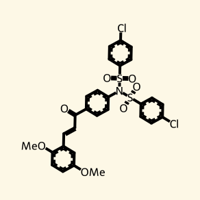 COc1ccc(OC)c(/C=C/C(=O)c2ccc(N(S(=O)(=O)c3ccc(Cl)cc3)S(=O)(=O)c3ccc(Cl)cc3)cc2)c1